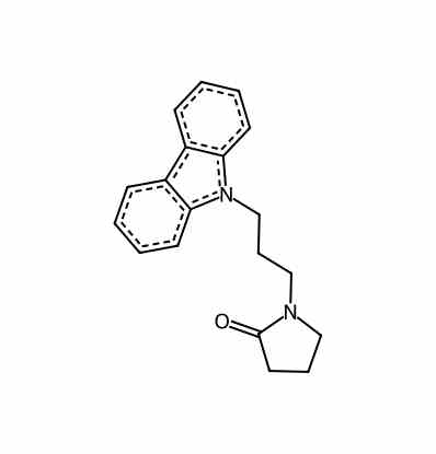 O=C1CCCN1CCCn1c2ccccc2c2ccccc21